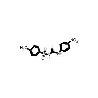 Cc1ccc(S(=O)(=O)NC(=O)Nc2ccc([N+](=O)[O-])cc2)cc1